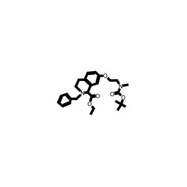 CCOC(=O)C1c2cc(OCCN(C)C(=O)OC(C)(C)C)ccc2CCN1Cc1ccccc1